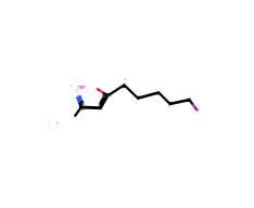 Cc1cc(CCCCCI)on1